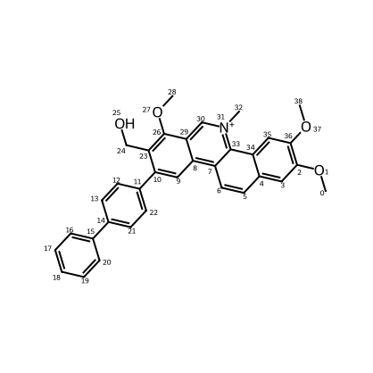 COc1cc2ccc3c4cc(-c5ccc(-c6ccccc6)cc5)c(CO)c(OC)c4c[n+](C)c3c2cc1OC